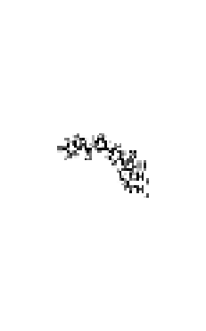 CC=C/C=C\c1c(C)[nH]c(=O)n1C1CCN(c2ccnc(C(=O)N3CCc4cc(F)ccc43)c2)CC1